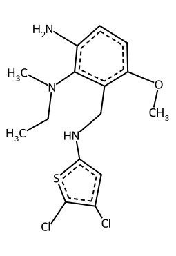 CCN(C)c1c(N)ccc(OC)c1CNc1cc(Cl)c(Cl)s1